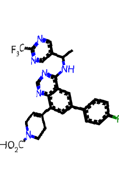 CC(Nc1ncnc2c(C3=CCN(C(=O)O)CC3)cc(-c3ccc(F)cc3)cc12)c1cnc(C(F)(F)F)nc1